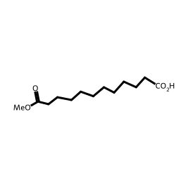 COC(=O)CCCCCCCCCCC(=O)O